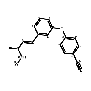 C[C@@H](/C=C/c1cccc(Oc2ccc(C#N)cc2)c1)NO